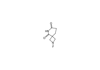 O=C1CCC2(CN(F)C2)C(=O)N1